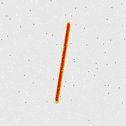 S=S=S=S=S=S=S=S=S=S=S=S=S=S=S=S=S=S=S=S=S=S=S=S=S=S=S=S=S=S=S=S=S=S=S=S=S=S=S=S=S=S=S=S=S=S=S=S=S=S=S=S=S=S=S=S=S=S=S=S=S=S=S=S=S=S=S=S=S=S=S=S=S=S=S=S=S=S=S=S=S=S=S=S=S=S=S=S=S=S=S=S=S=S=S=S=S=S=S=S=S=S=S=S=S=S=S=S=S=S=S=S=S=S=S=S=S=S=S=S=S=S=S=S=S=S